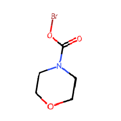 O=C(OBr)N1CCOCC1